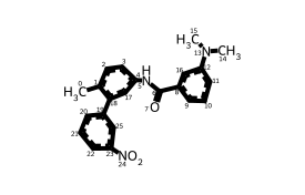 Cc1ccc(NC(=O)c2cccc(N(C)C)c2)cc1-c1cccc([N+](=O)[O-])c1